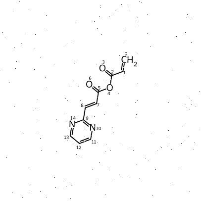 C=CC(=O)OC(=O)/C=C/c1ncccn1